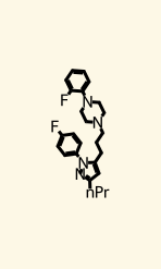 CCCc1cc(CCCN2CCN(c3ccccc3F)CC2)n(-c2ccc(F)cc2)n1